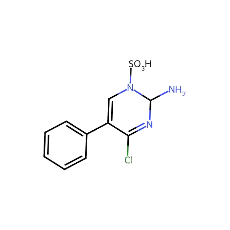 NC1N=C(Cl)C(c2ccccc2)=CN1S(=O)(=O)O